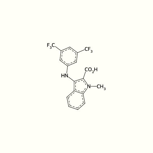 Cn1c(C(=O)O)c(Nc2cc(C(F)(F)F)cc(C(F)(F)F)c2)c2ccccc21